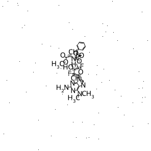 COC(=O)[C@H](C)N[P@](=O)(OC[C@@]1(F)O[C@@H](n2cnc3c(N(C)C)nc(N)nc32)[C@](C)(F)[C@@H]1O)Oc1ccccc1